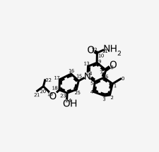 Cc1cccc2c1c(=O)c(C(N)=O)cn2-c1ccc(OC(C)C)c(O)c1